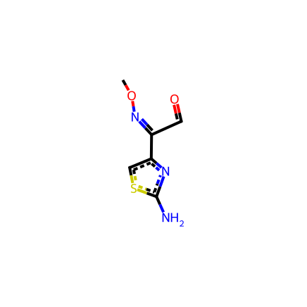 CON=C(C=O)c1csc(N)n1